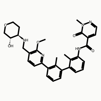 COc1nc(-c2cccc(-c3cccc(NC(=O)c4ccnn(C)c4=O)c3C)c2C)ccc1CN[C@@H]1CCOC[C@H]1O